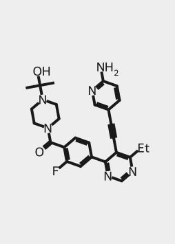 CCc1ncnc(-c2ccc(C(=O)N3CCN(C(C)(C)O)CC3)c(F)c2)c1C#Cc1ccc(N)nc1